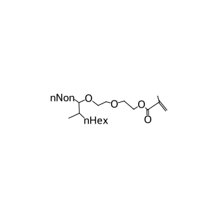 C=C(C)C(=O)OCCOCCOC(CCCCCCCCC)C(C)CCCCCC